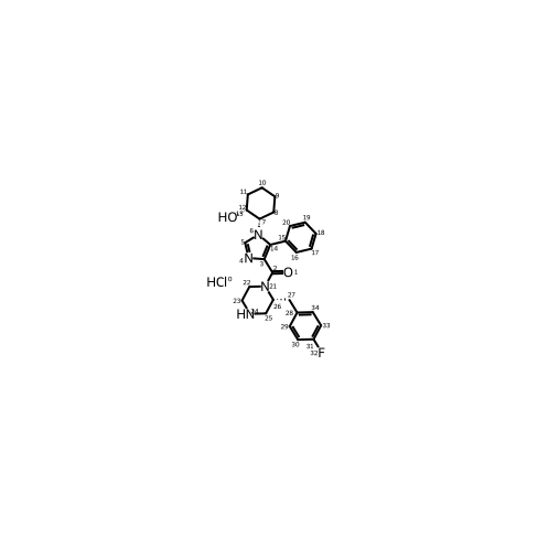 Cl.O=C(c1ncn([C@H]2CCCC[C@H]2O)c1-c1ccccc1)N1CCNC[C@H]1Cc1ccc(F)cc1